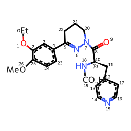 CCOc1cc(C2=NN(C(=O)[C@@H](Cc3ccncc3)NC(=O)O)CCC2)ccc1OC